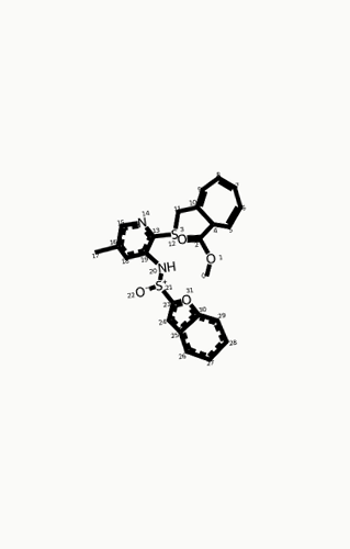 COC(=O)C1C=CC=CC=C1CSc1ncc(C)cc1N[S+]([O-])c1cc2ccccc2o1